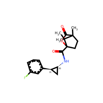 CC12CCC(C(=O)N[C@@H]3C[C@H]3c3cccc(F)c3)(OC1=O)C2(C)C